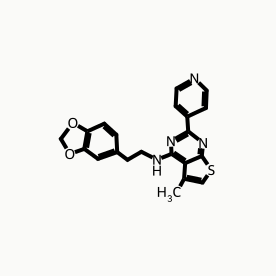 Cc1csc2nc(-c3ccncc3)nc(NCCc3ccc4c(c3)OCO4)c12